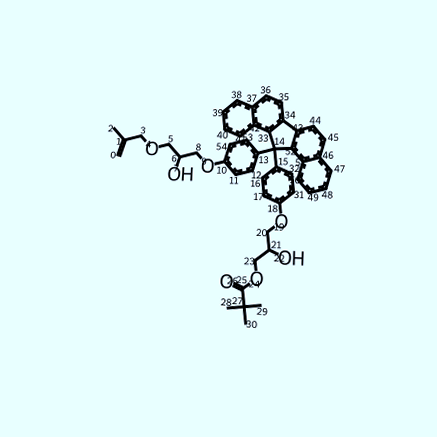 C=C(C)COCC(O)COc1ccc(C2(c3ccc(OCC(O)COC(=O)C(C)(C)C)cc3)c3c(ccc4ccccc34)-c3ccc4ccccc4c32)cc1